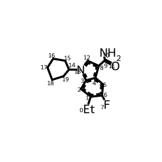 CCc1cc2c(cc1F)c(C(N)=O)cn2C1CCCCC1